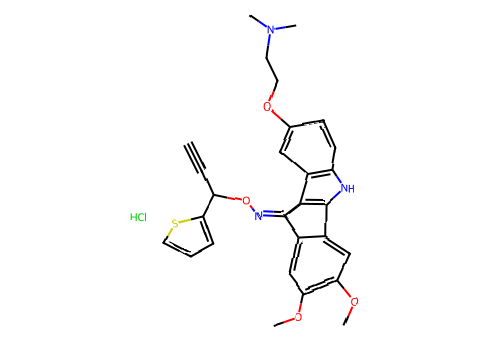 C#CC(ON=C1c2cc(OC)c(OC)cc2-c2[nH]c3ccc(OCCN(C)C)cc3c21)c1cccs1.Cl